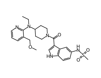 CCN(c1ncccc1COC)C1CCN(C(=O)c2c[nH]c3ccc(NS(C)(=O)=O)cc23)CC1